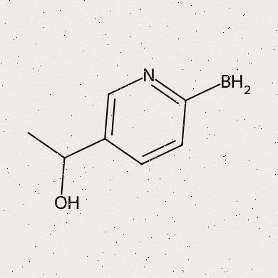 Bc1ccc(C(C)O)cn1